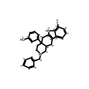 Oc1cccc(C23CCN(Cc4ccccc4)CC2Cc2c([nH]c4c(F)cccc24)C3)c1